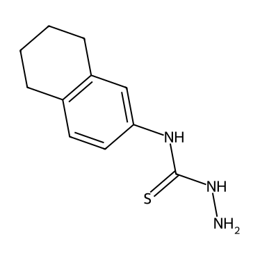 NNC(=S)Nc1ccc2c(c1)CCCC2